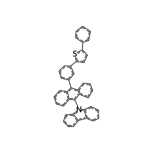 c1ccc(-c2ccc(-c3cccc(-c4c5ccccc5c(-n5c6ccccc6c6ccccc65)c5ccccc45)c3)s2)cc1